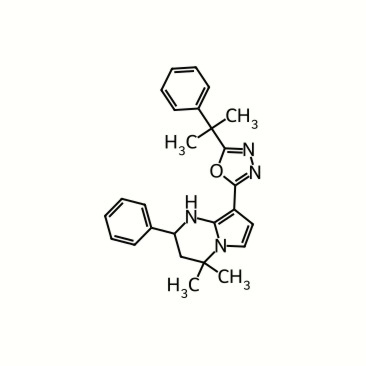 CC(C)(c1ccccc1)c1nnc(-c2ccn3c2NC(c2ccccc2)CC3(C)C)o1